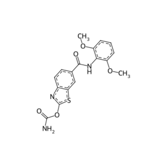 COc1cccc(OC)c1NC(=O)c1ccc2nc(OC(N)=O)sc2c1